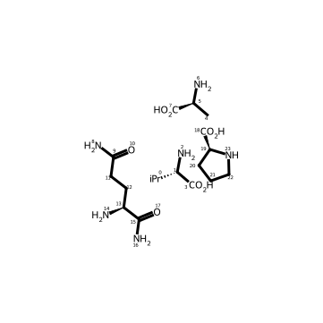 CC(C)[C@H](N)C(=O)O.C[C@H](N)C(=O)O.NC(=O)CC[C@H](N)C(N)=O.O=C(O)[C@@H]1CCCN1